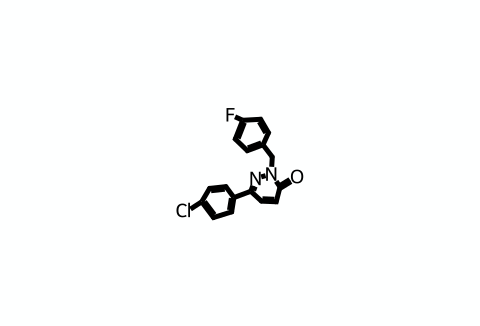 O=c1ccc(-c2ccc(Cl)cc2)nn1Cc1ccc(F)cc1